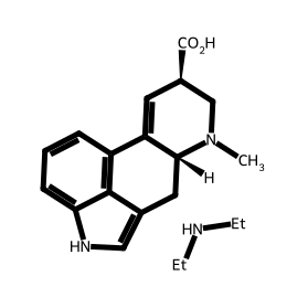 CCNCC.CN1C[C@H](C(=O)O)C=C2c3cccc4[nH]cc(c34)C[C@H]21